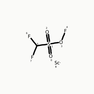 O=S(=O)(OF)C(F)F.[Sc]